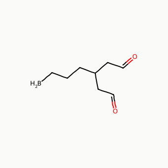 BCCCC(CC=O)CC=O